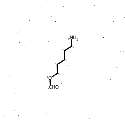 NCCCCCOC=O